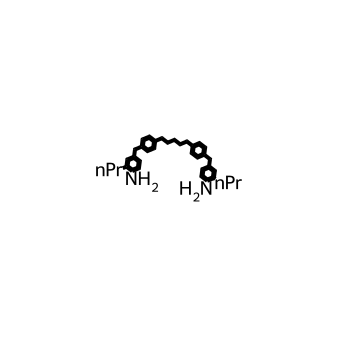 CCCc1cc(Cc2ccc(CCCCCc3ccc(Cc4ccc(N)c(CCC)c4)cc3)cc2)ccc1N